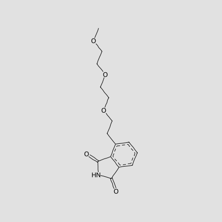 COCCOCCOCCc1cccc2c1C(=O)NC2=O